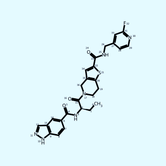 CC[C@@H](NC(=O)c1ccc2[nH]ncc2c1)C(=O)N1CCc2sc(C(=O)NCc3ccnc(F)c3)cc2C1